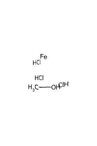 CO.Cl.Cl.Cl.[Fe]